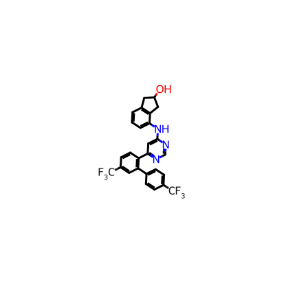 OC1Cc2cccc(Nc3cc(-c4ccc(C(F)(F)F)cc4-c4ccc(C(F)(F)F)cc4)ncn3)c2C1